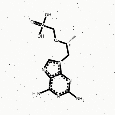 C[C@H](Cn1cnc2c(N)nc(N)nc21)OCP(=O)(O)O